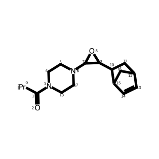 CC(C)C(=O)N1CCN(C2OC2C2CC3C=CC2C3)CC1